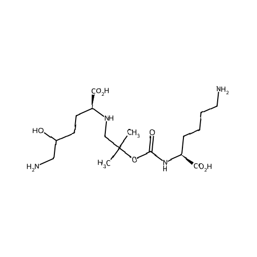 CC(C)(CN[C@@H](CCC(O)CN)C(=O)O)OC(=O)N[C@@H](CCCCN)C(=O)O